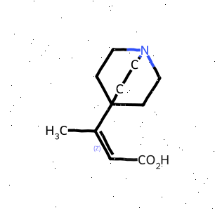 C/C(=C/C(=O)O)C12CCN(CC1)CC2